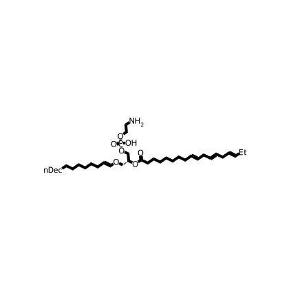 CC/C=C/C/C=C/C/C=C/CCCCCCCC(=O)O[C@H](CO/C=C/CCCCCCCCCCCCCCCC)COP(=O)(O)OCCN